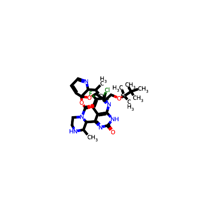 CC(C)C1N=CC=CC1(OCCCO[Si](C)(C)C(C)(C)C)OC(=O)N1CCNC(C)C1c1nc(=O)[nH]c2nc(Cl)c(F)cc12